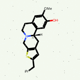 COc1cc2c(cc1O)[C@@H]1Cc3cc(CC(C)C)sc3CN1CC2